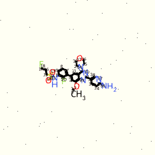 CCOc1cc(-c2cccc(NS(=O)(=O)CCCF)c2F)cc2c(N3CCOCC3)nc(-c3ccc(N)nc3)nc12